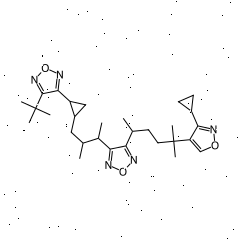 CC(CCC(C)(C)c1conc1C1CC1)c1nonc1C(C)C(C)CC1CC1c1nonc1C(C)(C)C